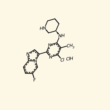 Cc1c(Cl)nc(-c2cnc3ccc(F)cn23)nc1N[C@@H]1CCCNC1.Cl